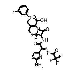 Nc1nc(C(=NOC(=O)C(F)(F)F)C(=O)NC2C(=O)N3C(C(=O)O)=C(COc4cccc(F)c4)CS[C@@H]23)cs1